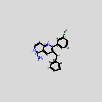 Nc1nccc2nc(-c3cccc(F)c3)c(Cc3ccccc3)cc12